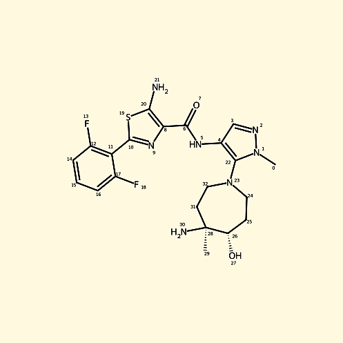 Cn1ncc(NC(=O)c2nc(-c3c(F)cccc3F)sc2N)c1N1CC[C@H](O)[C@@](C)(N)CC1